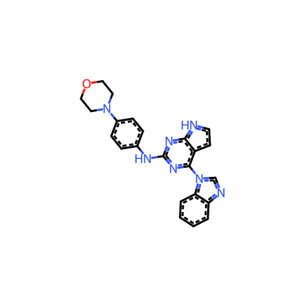 c1ccc2c(c1)ncn2-c1nc(Nc2ccc(N3CCOCC3)cc2)nc2[nH]ccc12